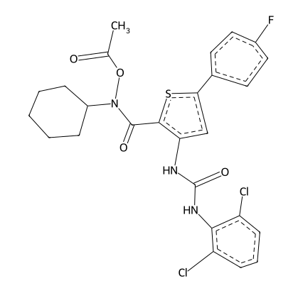 CC(=O)ON(C(=O)c1sc(-c2ccc(F)cc2)cc1NC(=O)Nc1c(Cl)cccc1Cl)C1CCCCC1